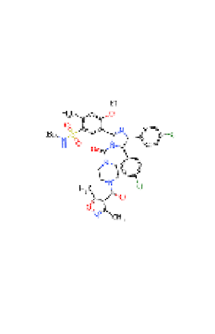 CCOc1cc(C)c(S(=O)(=O)NC(C)(C)C)cc1C1=N[C@@H](c2ccc(Cl)cc2)[C@@H](c2ccc(Cl)cc2)N1C(=O)N1CCN(C(=O)c2c(C)noc2C)CC1